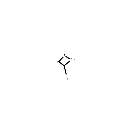 FC1CSS1